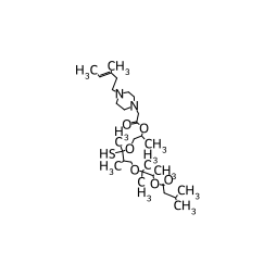 CC=C(C)CCN1CCN(CC(=O)OC(C)COC(C)(S)C(C)COC(C)(C)C(C)OC(=O)CC(C)C)CC1